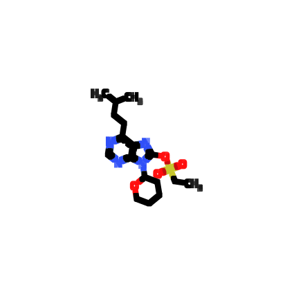 CCS(=O)(=O)Oc1nc2c(CCC(C)C)ncnc2n1C1CCCCO1